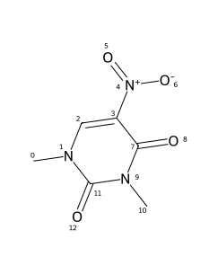 Cn1cc([N+](=O)[O-])c(=O)n(C)c1=O